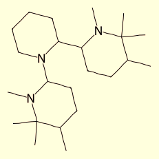 CC1CCC(C2CCCCN2C2CCC(C)C(C)(C)N2C)N(C)C1(C)C